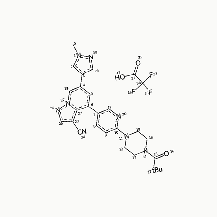 Cn1cc(-c2cc(-c3ccc(N4CCN(C(=O)C(C)(C)C)CC4)nc3)c3c(C#N)cnn3c2)cn1.O=C(O)C(F)(F)F